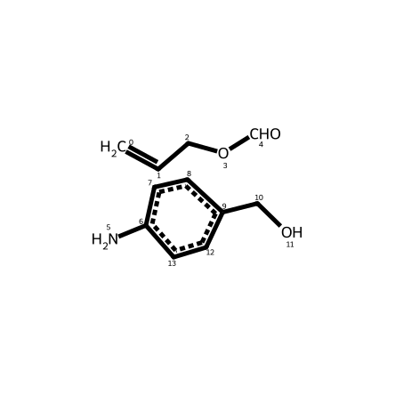 C=CCOC=O.Nc1ccc(CO)cc1